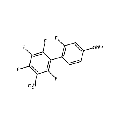 COc1ccc(-c2c(F)c(F)c(F)c([N+](=O)[O-])c2F)c(F)c1